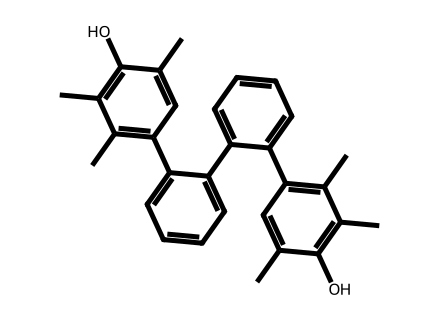 Cc1cc(-c2ccccc2-c2ccccc2-c2cc(C)c(O)c(C)c2C)c(C)c(C)c1O